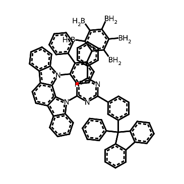 Bc1c(B)c(B)c(-c2cccc(-n3c4ccccc4c4ccc5c6ccccc6n(-c6nc(-c7ccccc7)nc(-c7cccc(C8(c9ccccc9)c9ccccc9-c9ccccc98)c7)n6)c5c43)c2-c2ccccc2)c(B)c1B